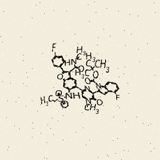 CCS(=O)(=O)Nc1cc2oc(-c3ccc(F)cc3)c(C(=O)NC)c2cc1-c1cn(C)c(=O)c(-c2cc3c(F)cccc3n2C(=O)OC(C)(C)C)n1